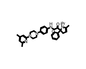 CC1=CCC(C(=O)C(=O)Nc2ccc(N3CCN(c4cc(C)cc(C)n4)CC3)cc2)(c2ccccc2)N1C(C)C